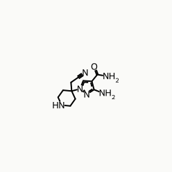 N#CCC1(n2cc(C(N)=O)c(N)n2)CCNCC1